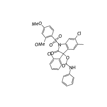 COc1ccc(S(=O)(=O)N2C(=O)C(OC(=O)Nc3ccccc3)(c3ccccc3Cl)c3cc(C)c(Cl)cc32)c(OC)c1